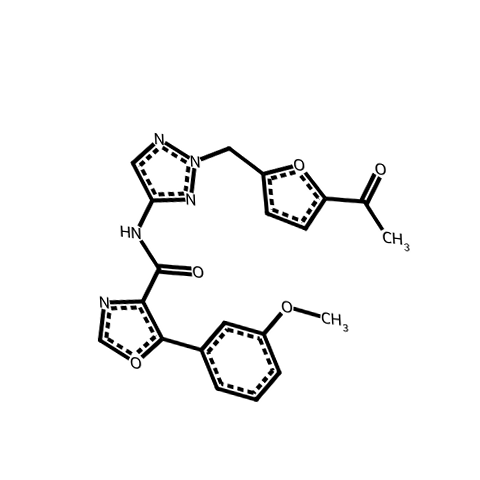 COc1cccc(-c2ocnc2C(=O)Nc2cnn(Cc3ccc(C(C)=O)o3)n2)c1